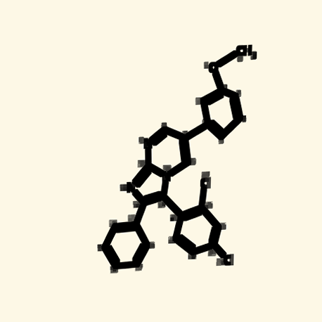 COc1cccc(-c2cnc3nc(-c4ccccc4)c(-c4ccc(Cl)cc4Cl)n3c2)c1